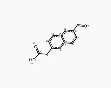 O=Cc1ccc2cc(CC(=O)O)ccc2c1